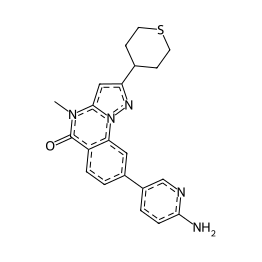 Cn1c(=O)c2ccc(-c3ccc(N)nc3)cc2n2nc(C3CCSCC3)cc12